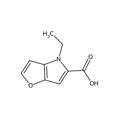 CCn1c(C(=O)O)cc2occc21